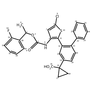 CC(OC(=O)Nc1cc(Cl)sc1-c1cc(C2(C(=O)O)CC2)ccc1-c1ccccc1)c1ccccc1F